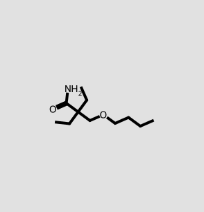 CCCCOCC(CC)(CC)C(N)=O